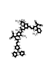 CC1CCCC2=C1OC(/C=C/c1cc3c4c(c1)CC(C)(CC1CCC5=C(OC(/C=C/c6ccc(N(c7ccccc7)c7ccccc7)cc6)=CC5=C(C#N)C#N)C1C)CN4CC(C)(C)C3)=CC2=C(C#N)C#N